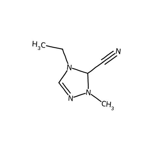 CCN1C=NN(C)C1C#N